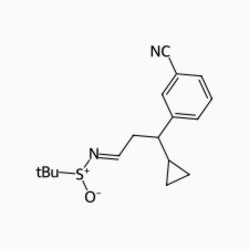 CC(C)(C)[S+]([O-])N=CCC(c1cccc(C#N)c1)C1CC1